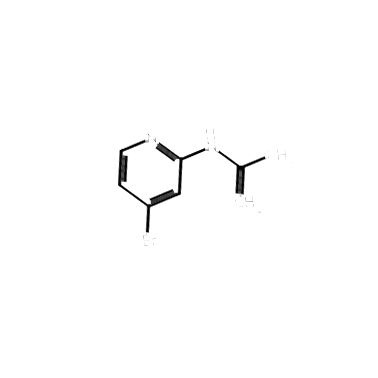 C=C(C)Nc1cc(Br)ccn1